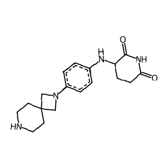 O=C1CCC(Nc2ccc(N3CC4(CCNCC4)C3)cc2)C(=O)N1